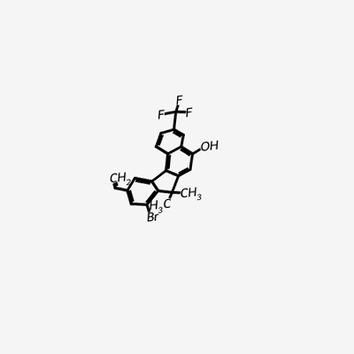 C=Cc1cc(Br)c2c(c1)-c1c(cc(O)c3cc(C(F)(F)F)ccc13)C2(C)C